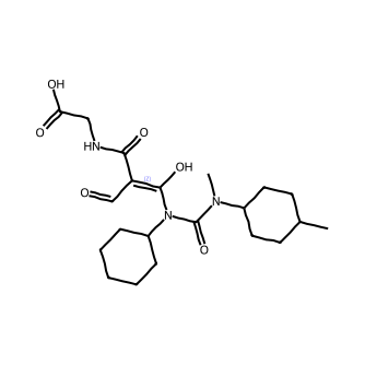 CC1CCC(N(C)C(=O)N(/C(O)=C(\C=O)C(=O)NCC(=O)O)C2CCCCC2)CC1